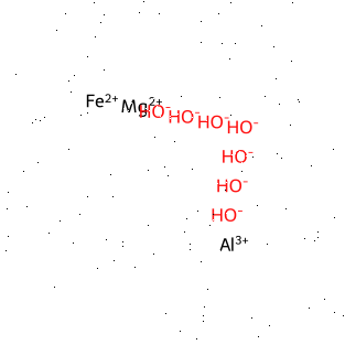 [Al+3].[Fe+2].[Mg+2].[OH-].[OH-].[OH-].[OH-].[OH-].[OH-].[OH-]